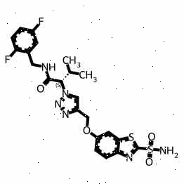 CC(C)[C@@H](C(=O)NCc1cc(F)ccc1F)n1cc(COc2ccc3nc(S(N)(=O)=O)sc3c2)nn1